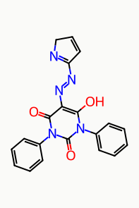 O=c1c(N=NC2=NCC=C2)c(O)n(-c2ccccc2)c(=O)n1-c1ccccc1